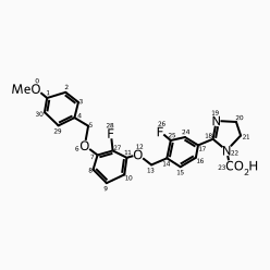 COc1ccc(COc2cccc(OCc3ccc(C4=NCCN4C(=O)O)cc3F)c2F)cc1